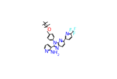 CC(C)(C)[Si](C)(C)OCc1ccc(-n2c(-c3cccnc3N)nc3ccc(-c4ccc(C(F)(F)F)nc4)nc32)cc1